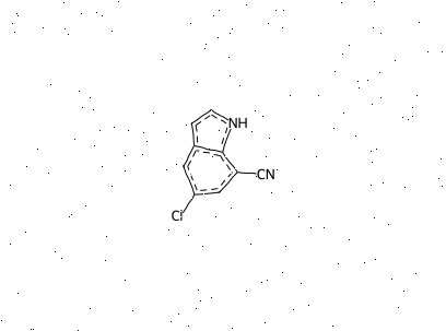 N#Cc1cc(Cl)cc2cc[nH]c12